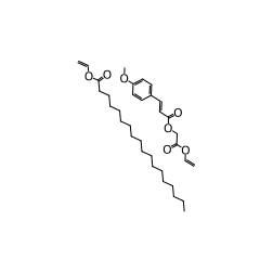 C=COC(=O)CCCCCCCCCCCCCCCCC.C=COC(=O)COC(=O)C=Cc1ccc(OC)cc1